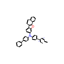 C=C/C=C\C(=C/C)c1ccc(N(c2ccc(-c3ccccc3)cc2)c2ccc3c(c2)oc2c4ccccc4ccc32)cc1